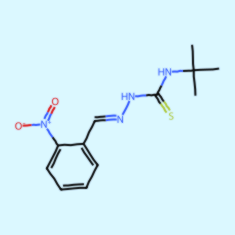 CC(C)(C)NC(=S)N/N=C/c1ccccc1[N+](=O)[O-]